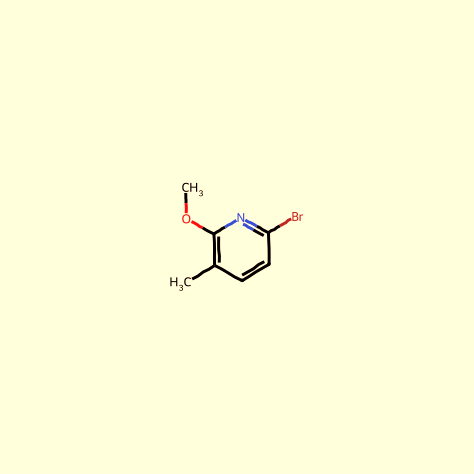 COc1nc(Br)ccc1C